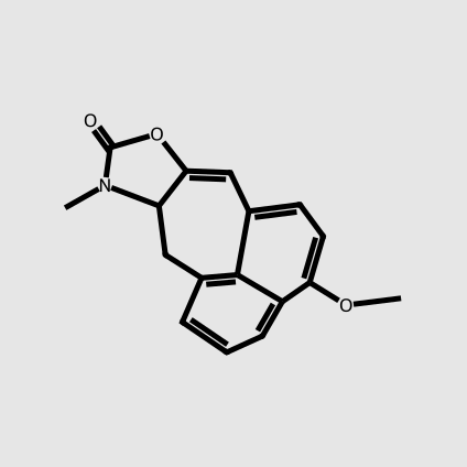 COc1ccc2c3c(cccc13)CC1C(=C2)OC(=O)N1C